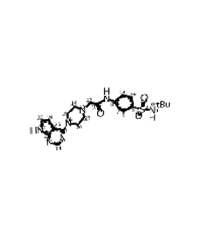 CC(C)(C)NS(=O)(=O)c1ccc(NC(=O)CN2CCN(c3ncnc4[nH]ccc34)CC2)cc1